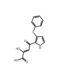 O=C(O)C(O)=CC(=O)c1[nH]ccc1Sc1ccccc1